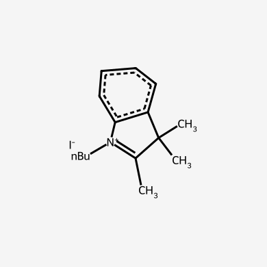 CCCC[N+]1=C(C)C(C)(C)c2ccccc21.[I-]